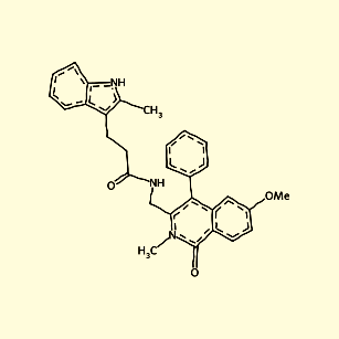 COc1ccc2c(=O)n(C)c(CNC(=O)CCc3c(C)[nH]c4ccccc34)c(-c3ccccc3)c2c1